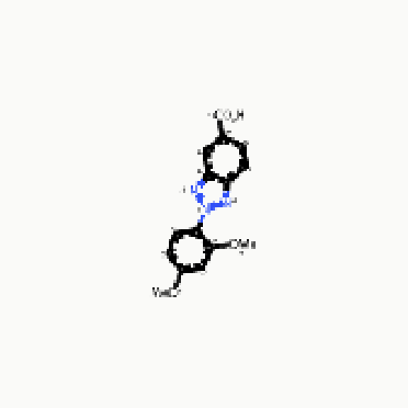 COc1ccc(-n2nc3ccc(C(=O)O)cc3n2)c(OC)c1